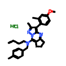 CCCCN(Cc1ccc(C)cc1)c1c2c(nc3c(-c4ccc(OC)cc4C)c(C)nn13)CCC2.Cl